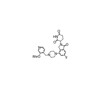 COc1cnccc1CN1CCN(c2cc(F)cc3c2CN(C2CCC(=O)NC2=O)C3=O)CC1